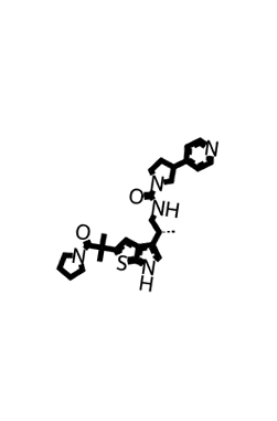 C[C@@H](CNC(=O)N1CCC(c2ccncc2)C1)c1c[nH]c2sc(C(C)(C)C(=O)N3CCCC3)cc12